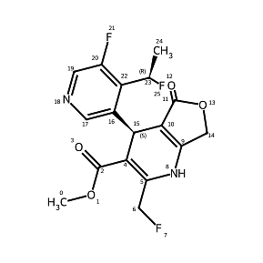 COC(=O)C1=C(CF)NC2=C(C(=O)OC2)[C@@H]1c1cncc(F)c1[C@@H](C)F